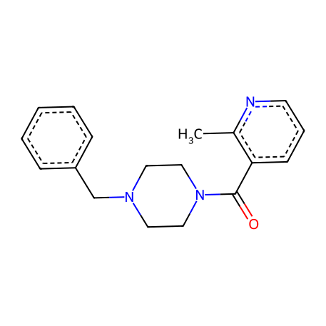 Cc1ncccc1C(=O)N1CCN(Cc2ccccc2)CC1